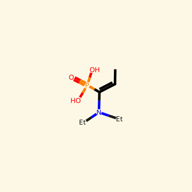 CC=C(N(CC)CC)P(=O)(O)O